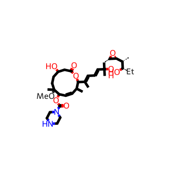 CC[C@H](O)[C@@H](C)[C@@H]1O[C@H]1CC(C)(O)/C=C/C=C(\C)C1OC(=O)CC(O)CCC(C)(OC)C(OC(=O)N2CCNCC2)C=CC1C